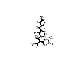 CN(C)[C@@H]1C(O)=C(C(N)=O)C(=O)[C@@]2(O)C(O)=C3C(=O)c4c(ccc(N)c4O)CC3CC12